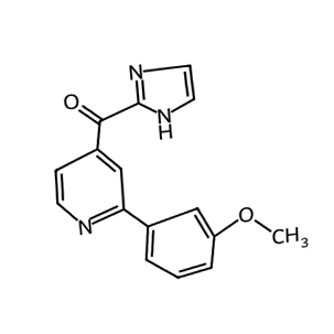 COc1cccc(-c2cc(C(=O)c3ncc[nH]3)ccn2)c1